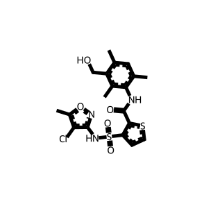 Cc1cc(C)c(NC(=O)c2sccc2S(=O)(=O)Nc2noc(C)c2Cl)c(C)c1CO